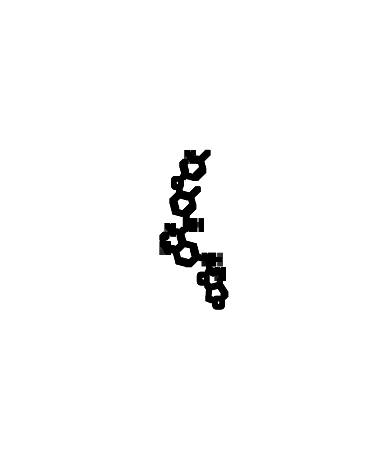 Cc1ccc(Oc2ccc(Nc3ncnc4ccc(NC5=NC6COCC6O5)cc34)cc2C)cn1